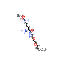 CC(C)(C)OC(=O)NCCCCC(N)C(=O)NCCOCCOCCC(=O)O